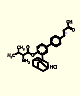 CC(C)C(N)C(=O)Oc1ccc(-c2ccc(/C=C/C(=O)O)cc2)cc1C12CC3CC(CC(C3)C1)C2.Cl